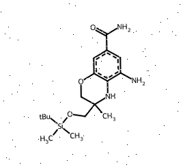 CC1(CO[Si](C)(C)C(C)(C)C)COc2cc(C(N)=O)cc(N)c2N1